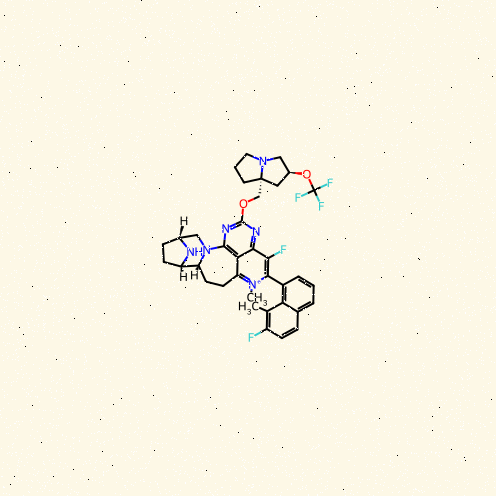 Cc1c(F)ccc2cccc(-c3c(F)c4nc(OC[C@]56CCCN5C[C@@H](OC(F)(F)F)C6)nc5c4c([n+]3C)CC[C@@H]3[C@@H]4CC[C@H](CN53)N4)c12